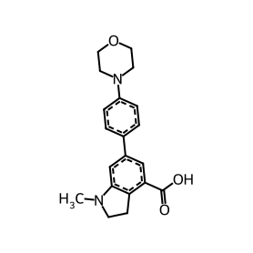 CN1CCc2c(C(=O)O)cc(-c3ccc(N4CCOCC4)cc3)cc21